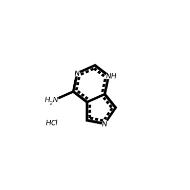 Cl.Nc1nc[nH]c2cncc1-2